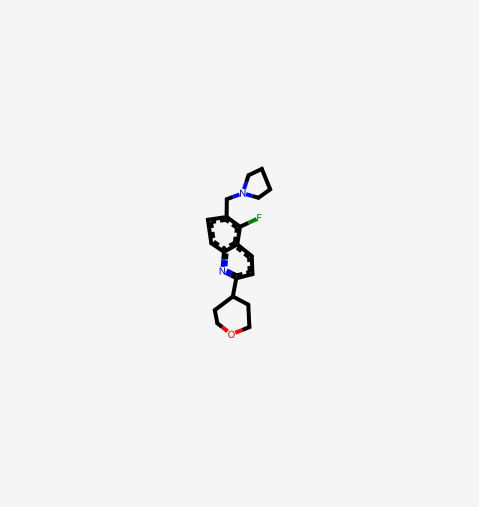 Fc1c(CN2CCCC2)ccc2nc(C3CCOCC3)ccc12